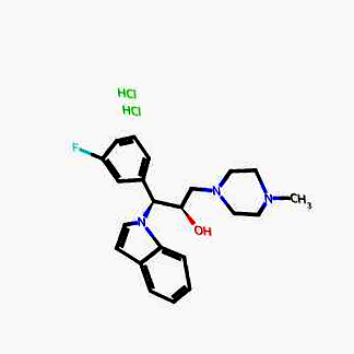 CN1CCN(C[C@@H](O)[C@H](c2cccc(F)c2)n2ccc3ccccc32)CC1.Cl.Cl